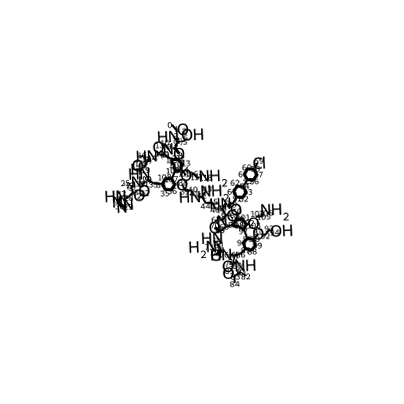 CC(=O)N[C@@H](CO)C(=O)N(C)[C@@H]1C(=O)N[C@@H](C)C(=O)N[C@H](C(=O)N[C@@H](C)C(=O)c2nnn[nH]2)Cc2ccc(OCCNC(N)CCC[C@H](NC(=O)c3ccc(-c4ccc(Cl)cc4)cc3)C(=O)N(C)C3C(=O)N[C@@H](N)C(=O)N[C@H](C(=O)N[C@@H](C)C(C)=O)Cc4ccc(OCCO)c(c4)-c4cc3ccc4OCCN)c(c2)-c2cc1ccc2OCCN